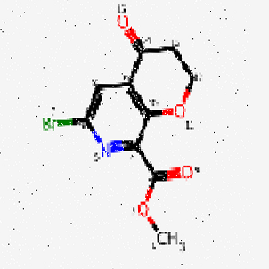 COC(=O)c1nc(Br)cc2c1OCCC2=O